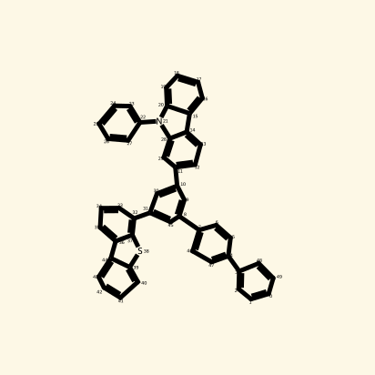 c1ccc(-c2ccc(-c3cc(-c4ccc5c6ccccc6n(-c6ccccc6)c5c4)cc(-c4cccc5c4sc4ccccc45)c3)cc2)cc1